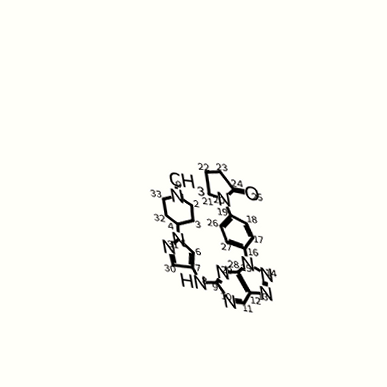 CN1CCC(n2cc(Nc3ncc4nnn(-c5ccc(N6CCCC6=O)cc5)c4n3)cn2)CC1